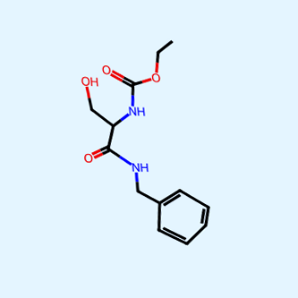 CCOC(=O)NC(CO)C(=O)NCc1ccccc1